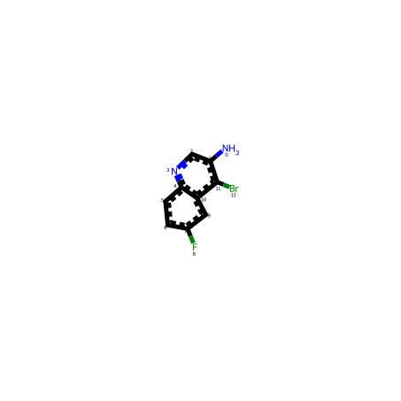 Nc1cnc2ccc(F)cc2c1Br